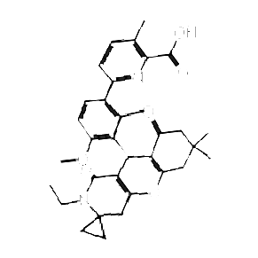 CCN1C(=O)C2=C(CC13CC3)OC1=C(C(=O)CC(C)(C)C1)[C@@H]2c1c(OC)ccc(-c2ccc(C)c(C(=O)O)n2)c1C